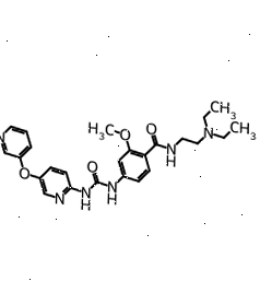 CCN(CC)CCNC(=O)c1ccc(NC(=O)Nc2ccc(Oc3cccnc3)cn2)cc1OC